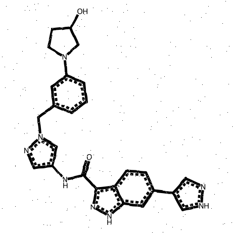 O=C(Nc1cnn(Cc2cccc(N3CCC(O)C3)c2)c1)c1n[nH]c2cc(-c3cn[nH]c3)ccc12